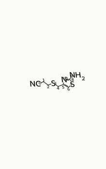 N#CCCSCc1csc(N)n1